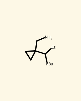 CCCCC(CC)C1(CN)CC1